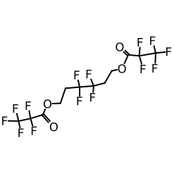 O=C(OCCC(F)(F)C(F)(F)CCOC(=O)C(F)(F)C(F)(F)F)C(F)(F)C(F)(F)F